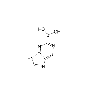 OB(O)c1ncc2nc[nH]c2n1